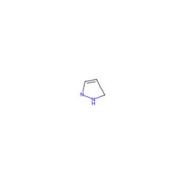 C1=C[N]NC1